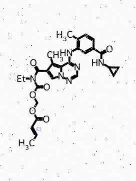 C/C=C/C(=O)OCOC(=O)N(CC)C(=O)c1cn2ncnc(Nc3cc(C(=O)NC4CC4)ccc3C)c2c1C